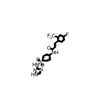 O=C(/C=C/c1ccc(F)cc1C(F)(F)F)Nc1ccc(S(=O)(=O)Nc2nc[nH]n2)cc1